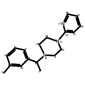 Cc1cccc(C(C)N2CCN(c3ccccn3)CC2)c1